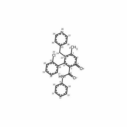 Cc1cc(=O)c(C(=O)Nc2ccccc2)c(-c2ccccc2Cl)n1Cc1ccncc1